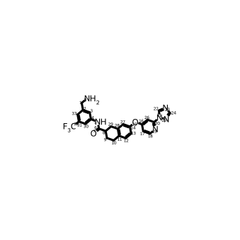 NCc1cc(NC(=O)C2CCc3ccc(Oc4ccnc(-n5cncn5)c4)cc3C2)cc(C(F)(F)F)c1